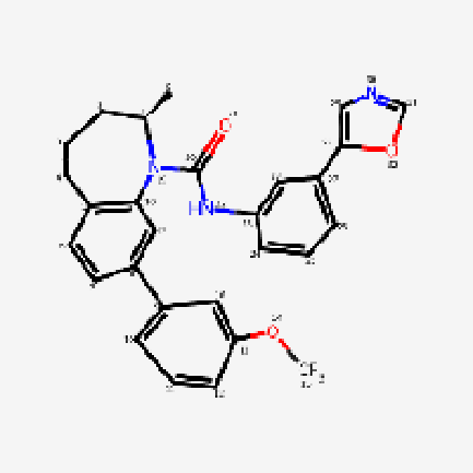 C[C@@H]1CCCc2ccc(-c3cccc(OC(F)(F)F)c3)cc2N1C(=O)Nc1cccc(-c2cnco2)c1